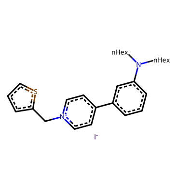 CCCCCCN(CCCCCC)c1cccc(-c2cc[n+](Cc3cccs3)cc2)c1.[I-]